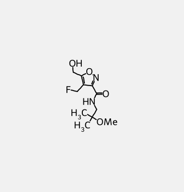 COC(C)(C)CNC(=O)c1noc(CO)c1CF